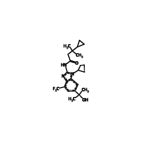 CC(C)(O)c1cc(C(F)(F)F)c2nc(NC(=O)CC(C)(C)C3CC3)n(C3CCC3)c2c1